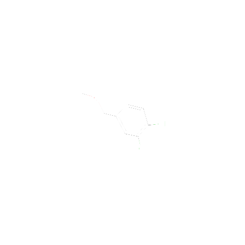 [CH2]OCc1ccc(Cl)c(Cl)c1